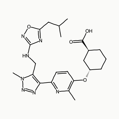 Cc1nc(-c2nnn(C)c2CNc2noc(CC(C)C)n2)ccc1O[C@H]1CCC[C@H](C(=O)O)C1